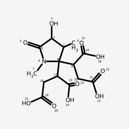 CC1C(O)C(=O)N(C)C1(C(CC(=O)O)C(=O)O)C(CC(=O)O)C(=O)O